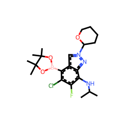 CC(C)Nc1c(F)c(Cl)c(B2OC(C)(C)C(C)(C)O2)c2cn(C3CCCCO3)nc12